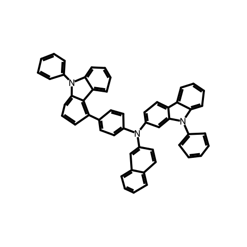 c1ccc(-n2c3ccccc3c3ccc(N(c4ccc(-c5cccc6c5c5ccccc5n6-c5ccccc5)cc4)c4ccc5ccccc5c4)cc32)cc1